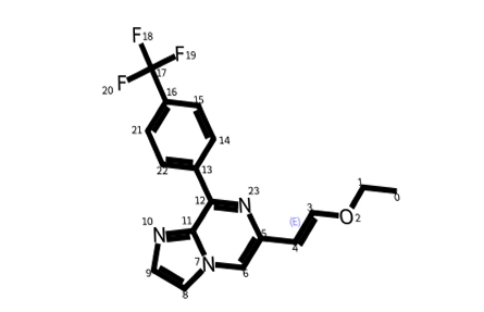 CCO/C=C/c1cn2ccnc2c(-c2ccc(C(F)(F)F)cc2)n1